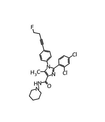 Cc1c(C(=O)NN2CCCCC2)nc(-c2ccc(Cl)cc2Cl)n1-c1ccc(C#CCCF)cc1